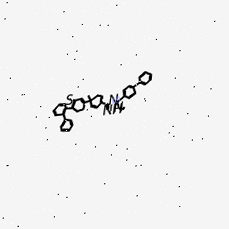 C=N/C(=N\C(=N)C1=CCC(C)(C2=Cc3sc4cccc(-c5ccccc5)c4c3CC2)C=C1)c1ccc(-c2ccccc2)cc1